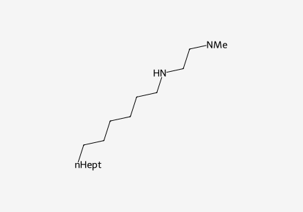 CCCCCCCCCCCCCNCCNC